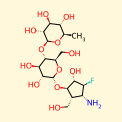 C[C@H]1O[C@@H](O[C@H]2[C@H](O)[C@@H](O)[C@@H](O[C@H]3[C@H](O)[C@@H](F)[C@H](N)[C@@H]3CO)O[C@@H]2CO)[C@H](O)[C@@H](O)[C@@H]1O